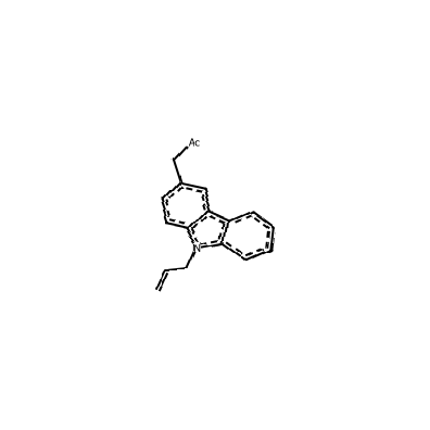 C=CCn1c2ccccc2c2cc(CC(C)=O)ccc21